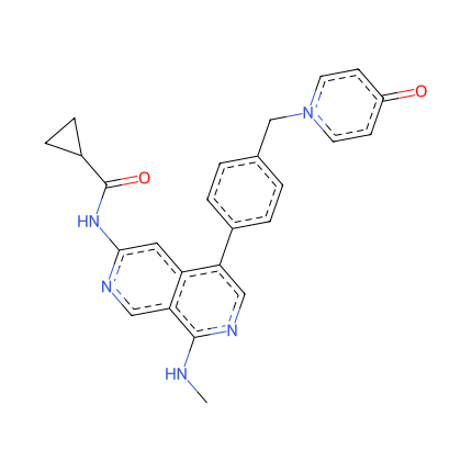 CNc1ncc(-c2ccc(Cn3ccc(=O)cc3)cc2)c2cc(NC(=O)C3CC3)ncc12